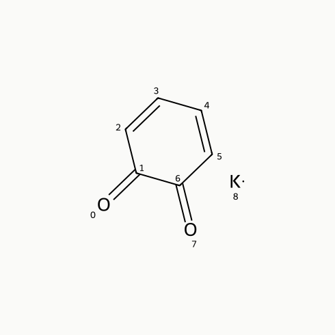 O=C1C=CC=CC1=O.[K]